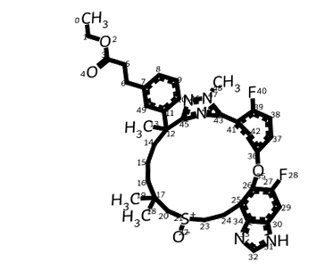 CCOC(=O)CCc1cccc(C2(C)CCCC(C)(C)C[S+]([O-])CCc3c(c(F)cc4[nH]cnc34)Oc3ccc(F)c(c3)-c3nc2nn3C)c1